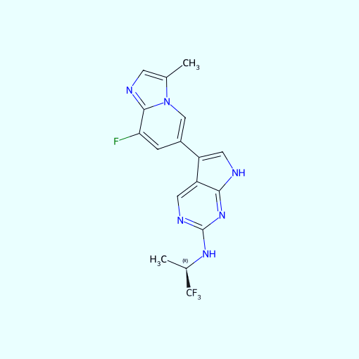 Cc1cnc2c(F)cc(-c3c[nH]c4nc(N[C@H](C)C(F)(F)F)ncc34)cn12